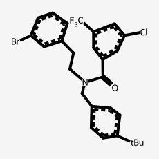 CC(C)(C)c1ccc(CN(CCc2cccc(Br)c2)C(=O)c2cc(Cl)cc(C(F)(F)F)c2)cc1